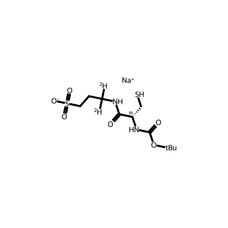 [2H]C([2H])(CCS(=O)(=O)[O-])NC(=O)[C@H](CS)NC(=O)OC(C)(C)C.[Na+]